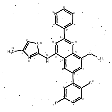 COc1cc(-c2cc(F)ccc2F)cc2c(Nc3nc(C)cs3)nc(-c3cccnc3)nc12